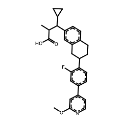 COc1cc(-c2ccc(C3CCc4ccc(C(C5CC5)C(C)C(=O)O)cc4C3)c(F)c2)ccn1